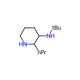 CCCC1NCCCC1NC(C)(C)C